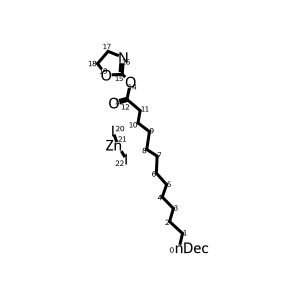 CCCCCCCCCCCCCCCCCCCCCC(=O)OC1=NCCO1.[I][Zn][I]